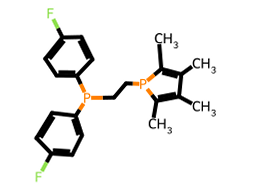 Cc1c(C)c(C)p(CCP(c2ccc(F)cc2)c2ccc(F)cc2)c1C